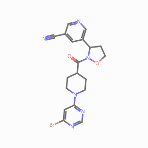 N#Cc1cncc(C2CCON2C(=O)C2CCN(c3cc(Br)ncn3)CC2)c1